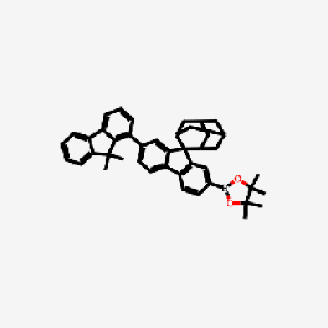 CC1(C)c2ccccc2-c2cccc(-c3ccc4c(c3)C3(c5cc(B6OC(C)(C)C(C)(C)O6)ccc5-4)C4CC5CC(C4)CC3C5)c21